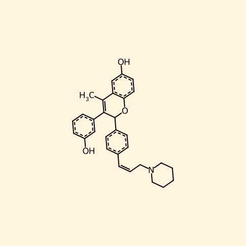 CC1=C(c2cccc(O)c2)C(c2ccc(/C=C\CN3CCCCC3)cc2)Oc2ccc(O)cc21